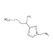 CC(CCC(=O)O)c1ccc(N)s1